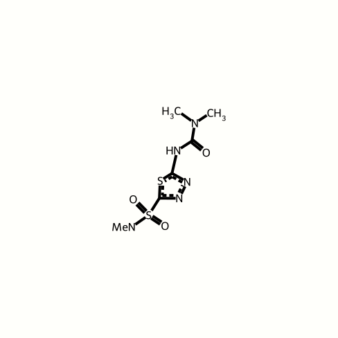 CNS(=O)(=O)c1nnc(NC(=O)N(C)C)s1